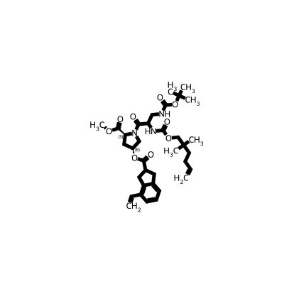 C=CCCC(C)(C)COC(=O)NC(CNC(=O)OC(C)(C)C)C(=O)N1C[C@H](OC(=O)C2Cc3cccc(C=C)c3C2)C[C@H]1C(=O)OC